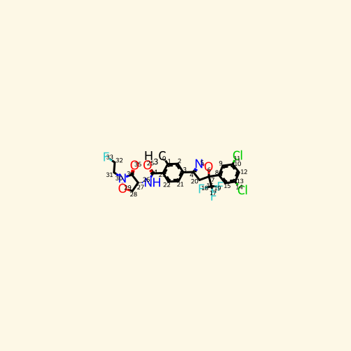 Cc1cc(C2=NOC(c3cc(Cl)cc(Cl)c3)(C(F)(F)F)C2)ccc1C(=O)N[C@@H]1CON(CCF)C1=O